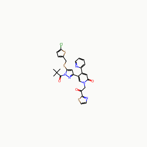 CC(C)(C)C(=O)n1nc(-c2cn(CC(=O)c3nccs3)c(=O)cc2-c2ccccn2)cc1SCc1ccc(Cl)s1